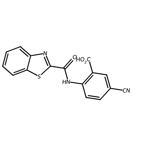 N#Cc1ccc(NC(=O)c2nc3ccccc3s2)c(C(=O)O)c1